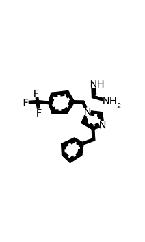 FC(F)(F)c1ccc(Cn2cnc(Cc3ccccc3)c2)cc1.N=CN